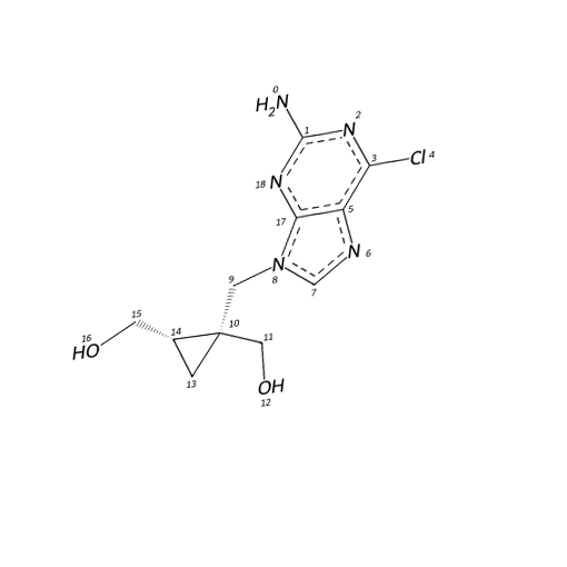 Nc1nc(Cl)c2ncn(C[C@]3(CO)C[C@@H]3CO)c2n1